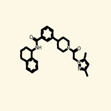 Cc1cc(C)n(CC(=O)N2CCC(c3cccc(C(=O)NC4CCCc5ccccc54)c3)CC2)n1